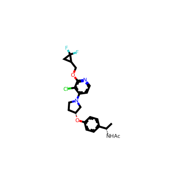 CC(=O)N[C@@H](C)c1ccc(O[C@@H]2CCN(c3ccnc(OCC4CC4(F)F)c3Cl)C2)cc1